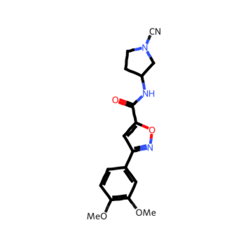 COc1ccc(-c2cc(C(=O)NC3CCN(C#N)C3)on2)cc1OC